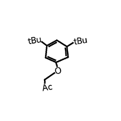 CC(=O)COc1cc(C(C)(C)C)cc(C(C)(C)C)c1